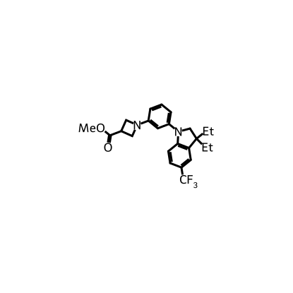 CCC1(CC)CN(c2cccc(N3CC(C(=O)OC)C3)c2)c2ccc(C(F)(F)F)cc21